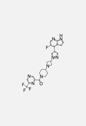 O=C(c1cncc(C(F)(F)F)n1)N1CCC(N2C[C](n3cc(-c4c(F)cnc5[nH]ccc45)cn3)C2)CC1